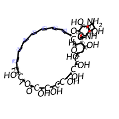 C[C@H]1C[C@H](O)[C@@H](C)/C=C/C=C/C=C/C=C/C=C/C=C/C=C/C(O[C@@H]2OC[C@@H](O)[C@H](N)[C@@H]2O)C[C@@H]2OC(O)(CC(O)CC(O)C(O)CCC(O)CC(O)CC(=O)O1)C[C@H](O)[C@H]2C(=O)N[C@H]1C[C@H](C)C1